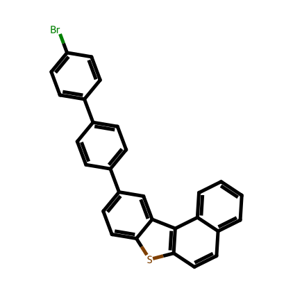 Brc1ccc(-c2ccc(-c3ccc4sc5ccc6ccccc6c5c4c3)cc2)cc1